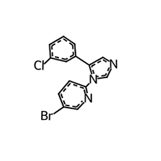 Clc1cccc(-c2cncn2-c2ccc(Br)cn2)c1